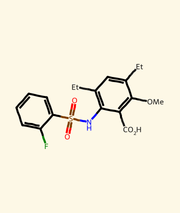 CCc1cc(CC)c(OC)c(C(=O)O)c1NS(=O)(=O)c1ccccc1F